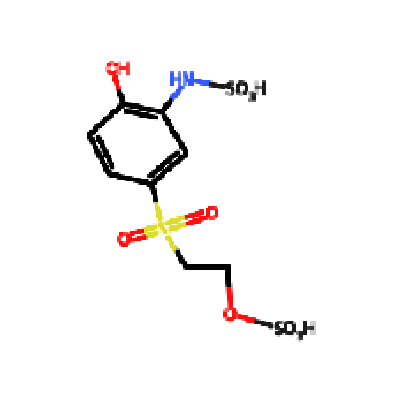 O=S(=O)(O)Nc1cc(S(=O)(=O)CCOS(=O)(=O)O)ccc1O